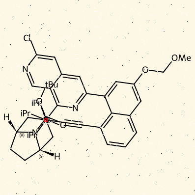 COCOc1cc(-c2cc3cc(Cl)ncc3c(N3C[C@H]4CC[C@@H](C3)N4C(=O)OC(C)(C)C)n2)c2c(C#C[Si](C(C)C)(C(C)C)C(C)C)cccc2c1